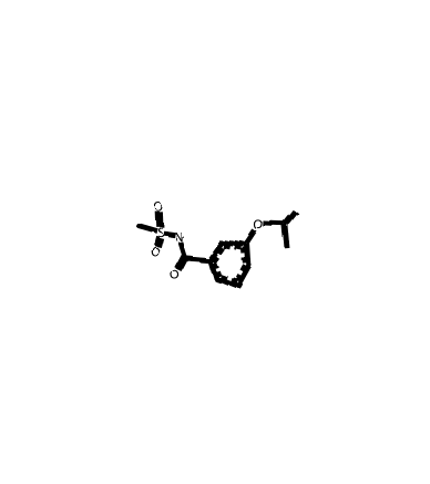 CC(C)Oc1cccc(C(=O)[N]S(C)(=O)=O)c1